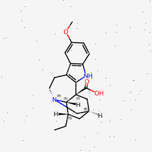 CC[C@H]1C[C@H]2C[N@]3CCc4c([nH]c5ccc(OC)cc45)[C@](C(=O)O)(C2)[C@H]13